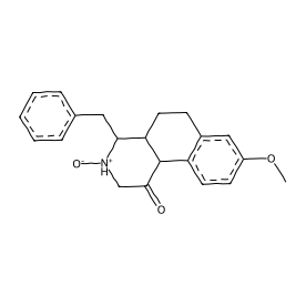 COc1ccc2c(c1)CCC1C2C(=O)C[NH+]([O-])C1Cc1ccccc1